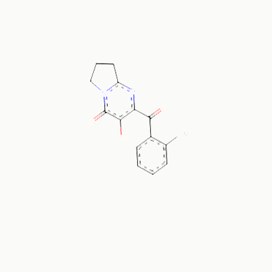 COc1ccccc1C(=O)c1nc2n(c(=O)c1O)CCC2